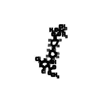 COC(=O)c1c(Cl)nc(Cl)nc1Nc1ccc(N2CCN(C(=O)OC(C)(C)C)CC2)cc1